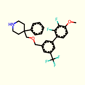 COc1ccc(-c2cc(COCC3(c4ccccc4)CCNCC3)cc(C(F)(F)F)c2)c(F)c1F